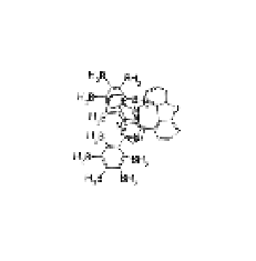 Bc1c(B)c(B)c(-c2nc(-c3c(B)c(B)c(B)c(B)c3B)nc(-c3cccc4oc5cccc(-n6c7ccccc7c7ccccc76)c5c34)n2)c(B)c1B